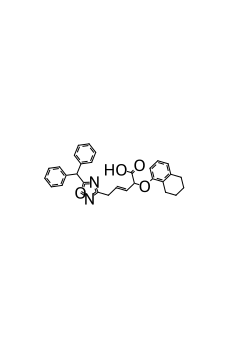 O=C(O)C(C=CCc1noc(C(c2ccccc2)c2ccccc2)n1)Oc1cccc2c1CCCC2